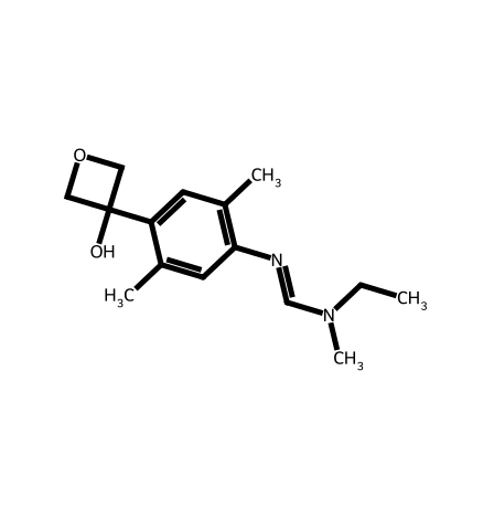 CCN(C)C=Nc1cc(C)c(C2(O)COC2)cc1C